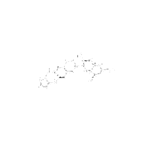 Cc1cc(=O)n2nc(N3CCc4ncc(Nc5ccnn5C)cc4C3)c(C)cc2n1